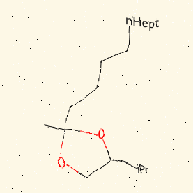 CCCCCCCCCCCC1(C)OCC(C(C)C)O1